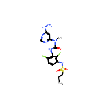 CCCS(=O)(=O)Nc1ccc(F)c(NC(=O)N(C)c2cc(NN)ncn2)c1F